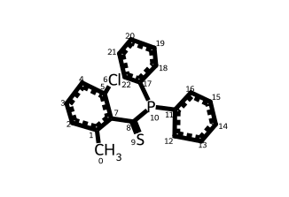 Cc1cccc(Cl)c1C(=S)P(c1ccccc1)c1ccccc1